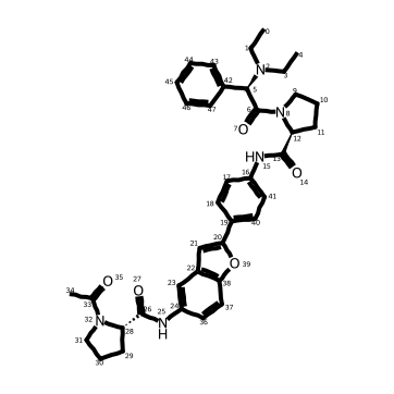 CCN(CC)[C@@H](C(=O)N1CCC[C@H]1C(=O)Nc1ccc(-c2cc3cc(NC(=O)[C@@H]4CCCN4C(C)=O)ccc3o2)cc1)c1ccccc1